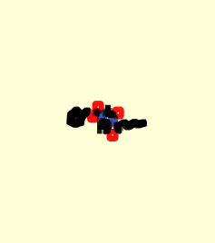 CCCCC[C@H]1COC[C@H]2CN(C(=O)OCc3ccccc3)[C@@H](C)C(=O)N12